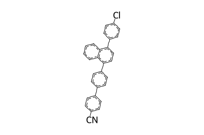 N#Cc1ccc(-c2ccc(-c3ccc(-c4ccc(Cl)cc4)c4ccccc34)cc2)cc1